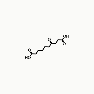 O=C(O)CCCCCC(=O)CCC(=O)O